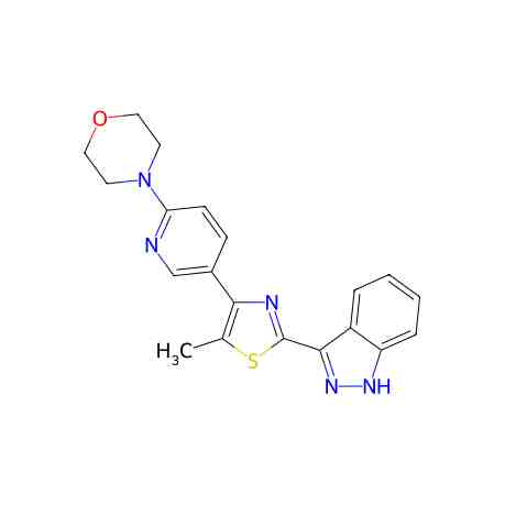 Cc1sc(-c2n[nH]c3ccccc23)nc1-c1ccc(N2CCOCC2)nc1